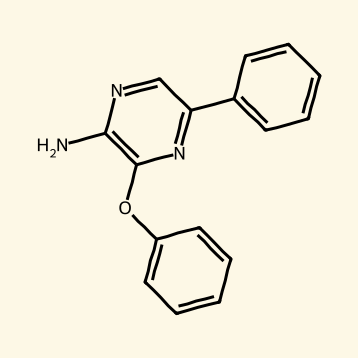 Nc1ncc(-c2ccccc2)nc1Oc1ccccc1